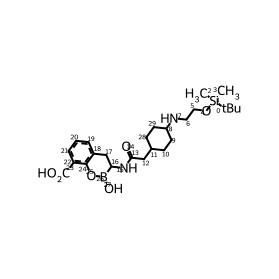 CC(C)(C)[Si](C)(C)OCCNC1CCC(CC(=O)NC2Cc3cccc(C(=O)O)c3OB2O)CC1